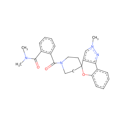 CN(C)C(=O)c1ccccc1C(=O)N1CCC2(CC1)Oc1ccccc1-c1nn(C)cc12